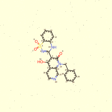 O=c1c(C2=NS(=O)(=O)c3ccccc3N2)c(O)c2ccncc2n1Cc1ccccc1